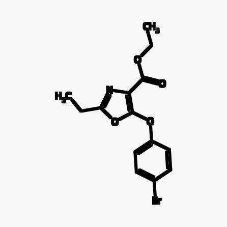 CCOC(=O)c1nc(CC)oc1Oc1ccc(Br)cc1